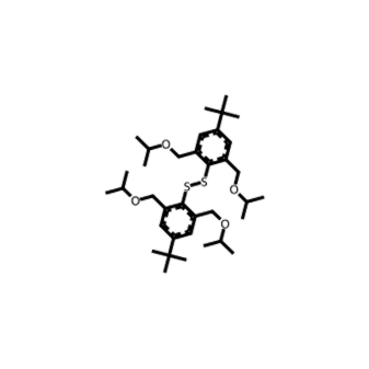 CC(C)OCc1cc(C(C)(C)C)cc(COC(C)C)c1SSc1c(COC(C)C)cc(C(C)(C)C)cc1COC(C)C